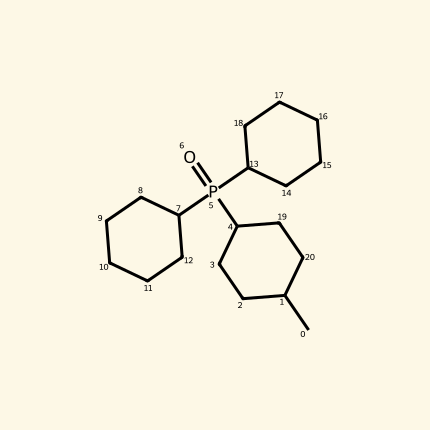 CC1CCC(P(=O)(C2CCCCC2)C2CCCCC2)CC1